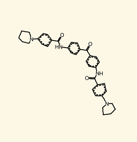 O=C(Nc1ccc(C(=O)c2ccc(NC(=O)c3ccc(N4CCCCC4)cc3)cc2)cc1)c1ccc(N2CCCCC2)cc1